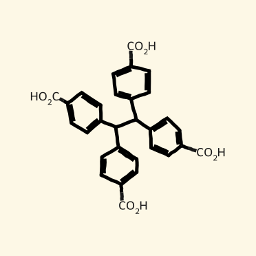 O=C(O)c1ccc(C(c2ccc(C(=O)O)cc2)C(c2ccc(C(=O)O)cc2)c2ccc(C(=O)O)cc2)cc1